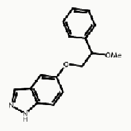 COC(COc1ccc2[nH]ncc2c1)c1ccccc1